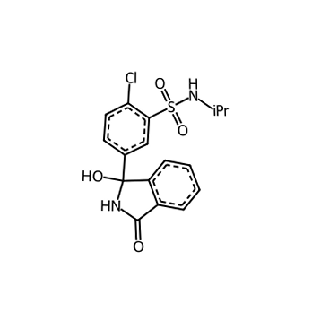 CC(C)NS(=O)(=O)c1cc(C2(O)NC(=O)c3ccccc32)ccc1Cl